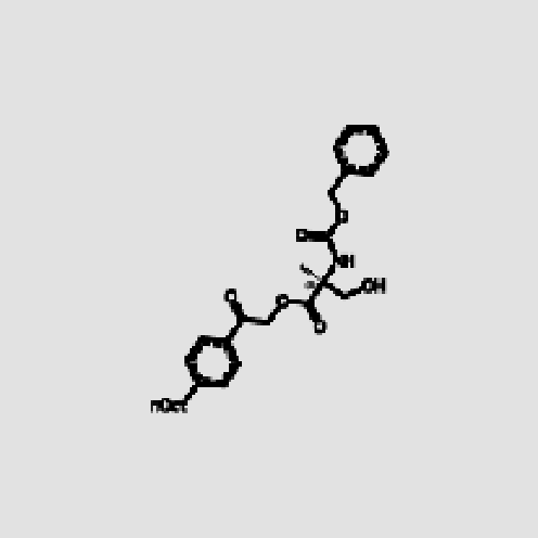 CCCCCCCCc1ccc(C(=O)COC(=O)[C@](C)(CO)NC(=O)OCc2ccccc2)cc1